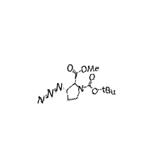 COC(=O)[C@@H]1[C@@H](N=[N+]=[N-])CCN1C(=O)OC(C)(C)C